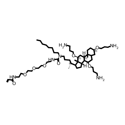 C=CC(=O)NCCOCCOCCOCCNC(=O)N(CCCCCCCC)CCC[C@@H](C)C1CC[C@H]2C3[C@H](OCCCN)CC4C[C@H](OCCCN)CCC4(C)[C@H]3C[C@H](OCCCN)C12C